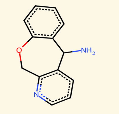 NC1c2ccccc2OCc2ncccc21